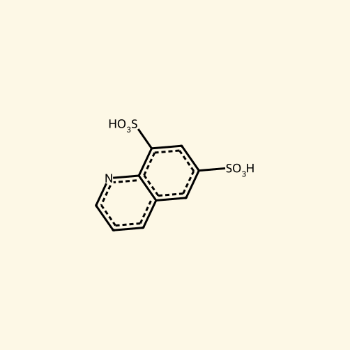 O=S(=O)(O)c1cc(S(=O)(=O)O)c2ncccc2c1